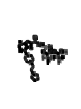 NC(=O)c1cc2ncnc(N3CCN(CCN4CCCC4)CC3)c2s1.O=C(O)C(F)(F)F.O=C(O)C(F)(F)F